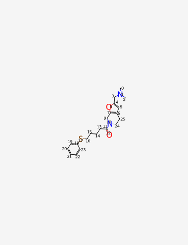 CN(C)Cc1cc2c(o1)CN(C(=O)CCCCSc1ccccc1)CC2